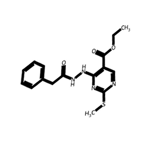 CCOC(=O)c1cnc(SC)nc1NNC(=O)Cc1ccccc1